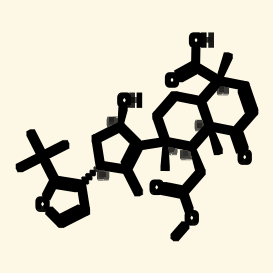 COC(=O)C[C@H]1[C@](C)(C2=C(C)[C@H](c3ccoc3C(C)(C)C)C[C@H]2O)CCC2[C@](C)(C(=O)O)C=CC(=O)[C@@]21C